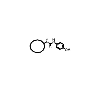 O=C(Nc1ccc(O)cc1)NC1CCCCCCCCCCC1